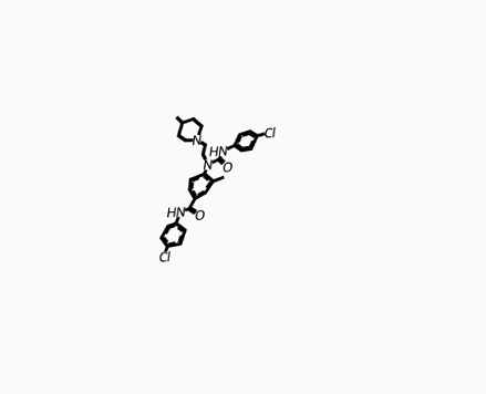 Cc1cc(C(=O)Nc2ccc(Cl)cc2)ccc1N(CCN1CCC(C)CC1)C(=O)Nc1ccc(Cl)cc1